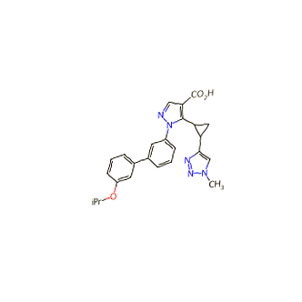 CC(C)Oc1cccc(-c2cccc(-n3ncc(C(=O)O)c3C3CC3c3cn(C)nn3)c2)c1